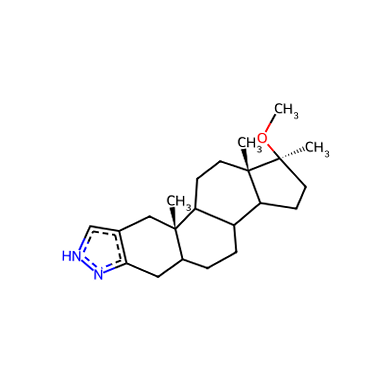 CO[C@@]1(C)CCC2C3CCC4Cc5n[nH]cc5C[C@]4(C)C3CC[C@@]21C